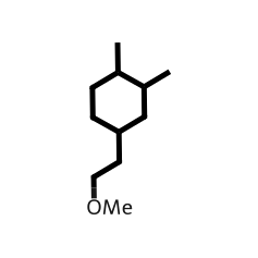 COCCC1CCC(C)C(C)C1